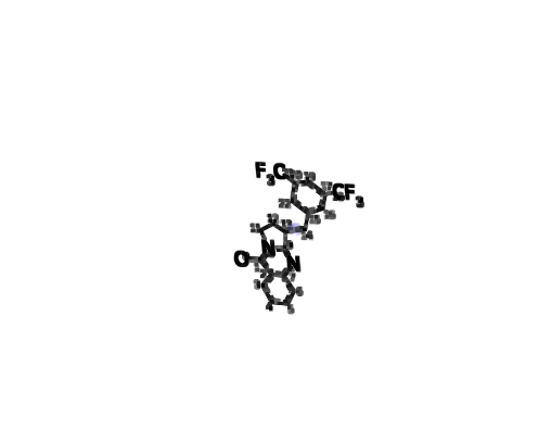 O=c1c2ccccc2nc2n1CC/C2=C\c1cc(C(F)(F)F)cc(C(F)(F)F)c1